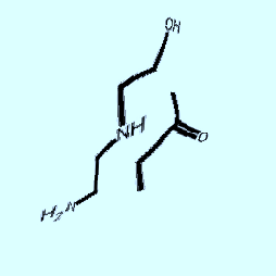 CCC(C)=O.NCCNCCO